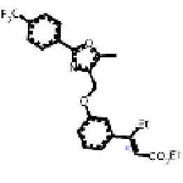 CCOC(=O)/C=C(\CC)c1cccc(OCc2nc(-c3ccc(C(F)(F)F)cc3)oc2C)c1